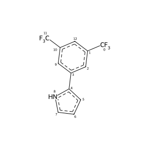 FC(F)(F)c1cc(-c2ccc[nH]2)cc(C(F)(F)F)c1